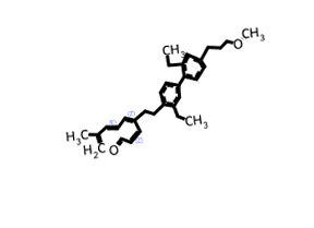 C=C(C)/C=C/C=C(\C=C/C=O)CCc1ccc(-c2ccc(CCCOC)cc2CC)cc1CC